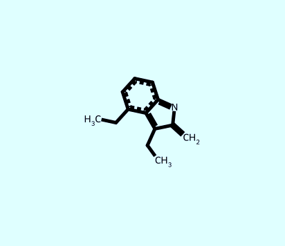 C=C1N=c2cccc(CC)c2=C1CC